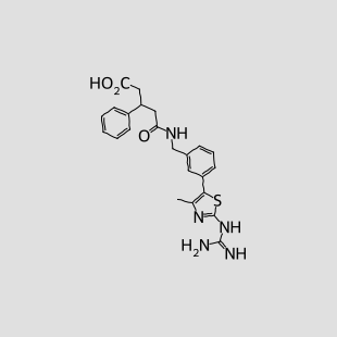 Cc1nc(NC(=N)N)sc1-c1cccc(CNC(=O)CC(CC(=O)O)c2ccccc2)c1